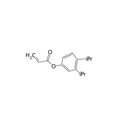 C=CC(=O)Oc1ccc(C(C)C)c(C(C)C)c1